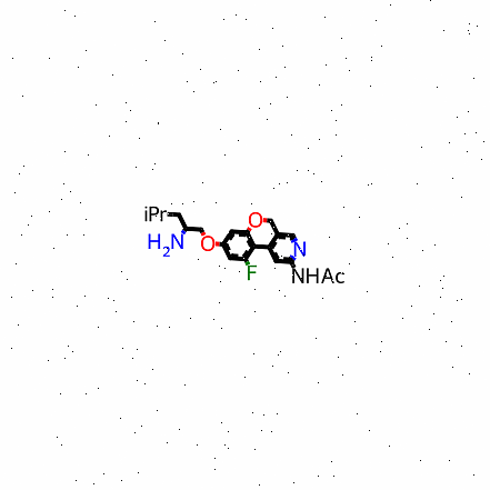 CC(=O)Nc1cc2c(cn1)COc1cc(OCC(N)CC(C)C)cc(F)c1-2